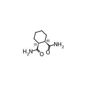 NC(=O)[C@H]1CCCC[C@H]1C(N)=O